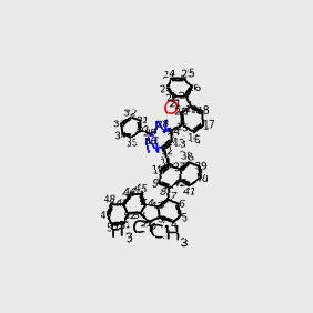 CC1(C)c2cccc(-c3ccc(-c4cc(-c5cccc6c5oc5ccccc56)nc(-c5ccccc5)n4)c4ccccc34)c2-c2ccc3ccccc3c21